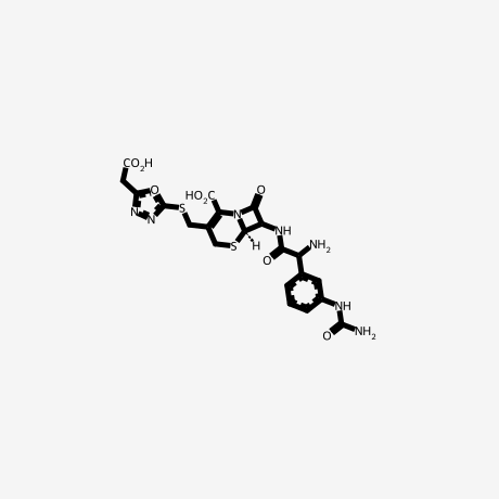 NC(=O)Nc1cccc(C(N)C(=O)NC2C(=O)N3C(C(=O)O)=C(CSc4nnc(CC(=O)O)o4)CS[C@H]23)c1